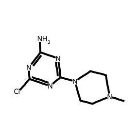 CN1CCN(c2nc(N)nc(Cl)n2)CC1